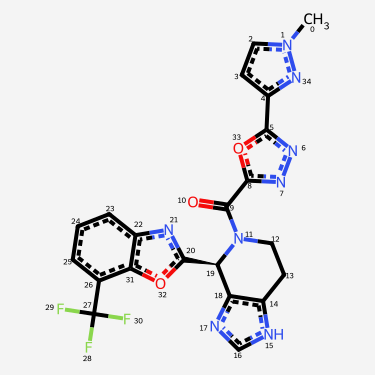 Cn1ccc(-c2nnc(C(=O)N3CCc4[nH]cnc4[C@H]3c3nc4cccc(C(F)(F)F)c4o3)o2)n1